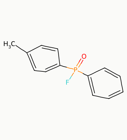 Cc1ccc(P(=O)(F)c2ccccc2)cc1